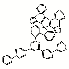 c1ccc(-c2ccc(-c3nc(-c4cccc(-c5ccccc5)c4)nc(-c4cccc5c4-c4ccccc4C54c5c(c6ccccc6c6ccccc56)-c5c4c4ccccc4c4ccccc54)n3)cc2)cc1